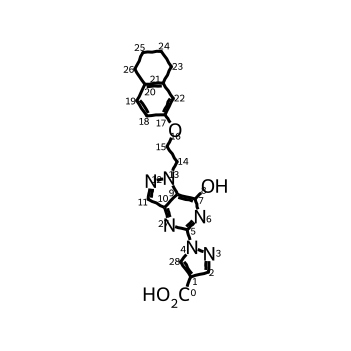 O=C(O)c1cnn(-c2nc(O)c3c(cnn3CCOc3ccc4c(c3)CCCC4)n2)c1